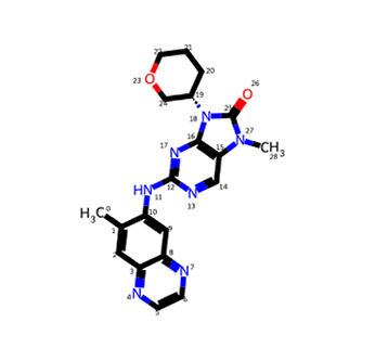 Cc1cc2nccnc2cc1Nc1ncc2c(n1)n([C@H]1CCCOC1)c(=O)n2C